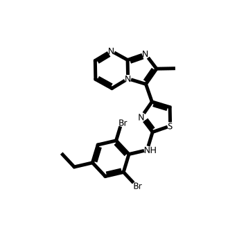 CCc1cc(Br)c(Nc2nc(-c3c(C)nc4ncccn34)cs2)c(Br)c1